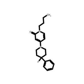 CCCCn1ccc(N2CCC(F)(c3ccccc3)CC2)cc1=O